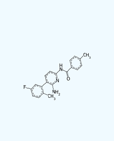 Cc1ccc(C(=O)Nc2ccc(-c3cc(F)ccc3C)c(N)n2)cc1